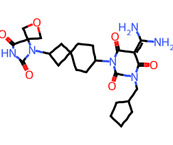 NC(N)=C1C(=O)N(CC2CCCC2)C(=O)N(C2CCC3(CC2)CC(N2C(=O)NC(=O)C24COC4)C3)C1=O